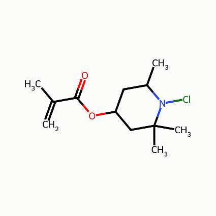 C=C(C)C(=O)OC1CC(C)N(Cl)C(C)(C)C1